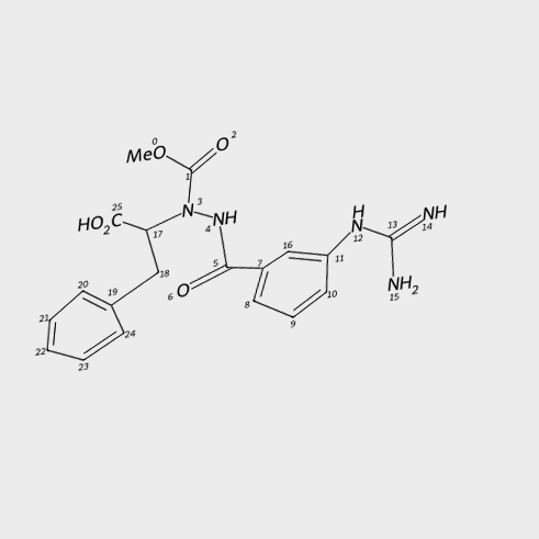 COC(=O)N(NC(=O)c1cccc(NC(=N)N)c1)C(Cc1ccccc1)C(=O)O